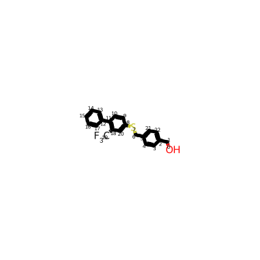 OCc1ccc(CSc2ccc(-c3ccccc3)c(C(F)(F)F)c2)cc1